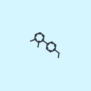 C[CH]c1ccc(-c2cccc(C)c2C)cc1